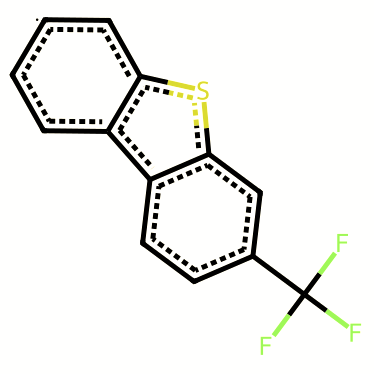 FC(F)(F)c1ccc2c(c1)sc1c[c]ccc12